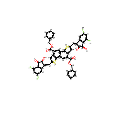 O=C1C(=O)c2c(F)cc(F)cc2/C1=C/c1cc2c(C(=O)OCc3ccccc3)cc3c(cc(C(=O)OCc4ccccc4)c4cc(/C=C5\C(=O)C(=O)c6c(F)cc(F)cc65)sc43)c2s1